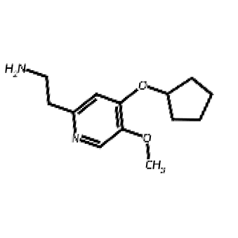 COc1cnc(CCN)cc1OC1CCCC1